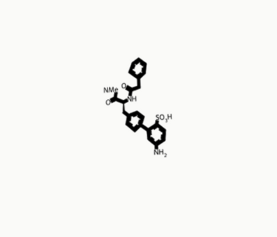 CNC(=O)[C@H](Cc1ccc(-c2cc(N)ccc2S(=O)(=O)O)cc1)NC(=O)Cc1ccccc1